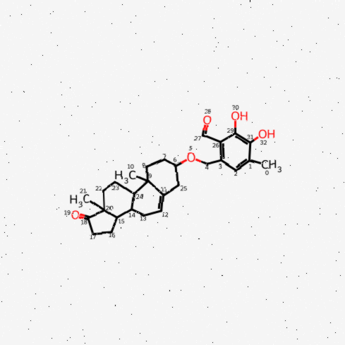 Cc1cc(COC2CCC3(C)C(=CCC4C5CCC(=O)C5(C)CCC43)C2)c(C=O)c(O)c1O